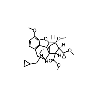 COC(=O)[C@H]1[C@H](C(=O)OC)[C@@]23CC[C@]1(OC)[C@@H]1Oc4c(OC)ccc5c4[C@@]12CCN(CC1CC1)[C@@H]3C5